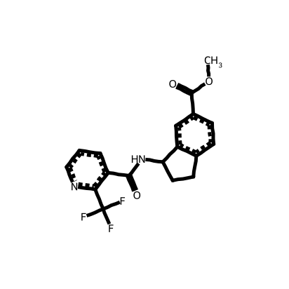 COC(=O)c1ccc2c(c1)C(NC(=O)c1cccnc1C(F)(F)F)CC2